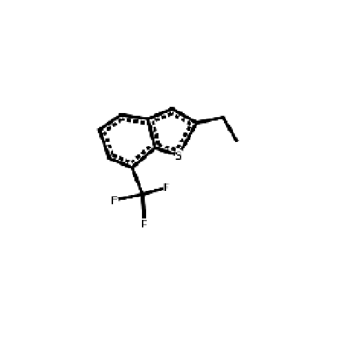 CCc1cc2cccc(C(F)(F)F)c2s1